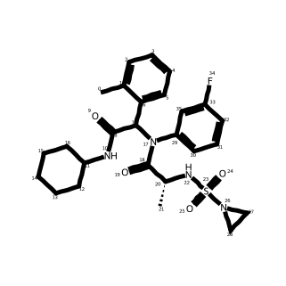 Cc1ccccc1C(C(=O)NC1CCCCC1)N(C(=O)[C@@H](C)NS(=O)(=O)N1CC1)c1cccc(F)c1